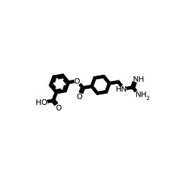 N=C(N)NCC1CCC(C(=O)Oc2cccc(C(=O)O)c2)CC1